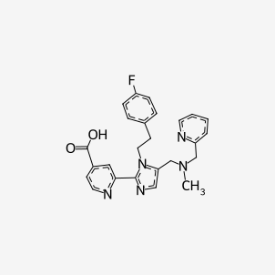 CN(Cc1ccccn1)Cc1cnc(-c2cc(C(=O)O)ccn2)n1CCc1ccc(F)cc1